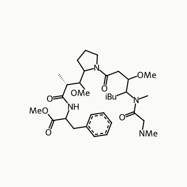 CCC(C)C(C(CC(=O)N1CCCC1C(OC)[C@@H](C)C(=O)NC(Cc1ccccc1)C(=O)OC)OC)N(C)C(=O)CNC